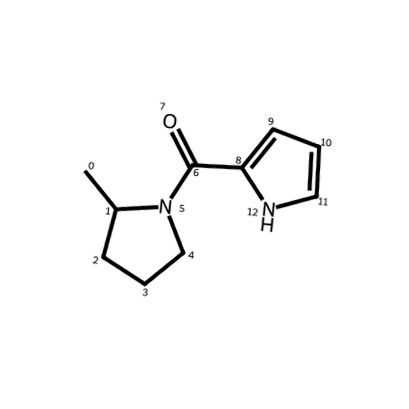 CC1CCCN1C(=O)c1ccc[nH]1